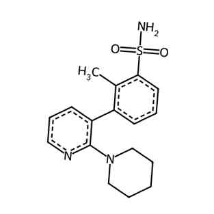 Cc1c(-c2cccnc2N2CCCCC2)cccc1S(N)(=O)=O